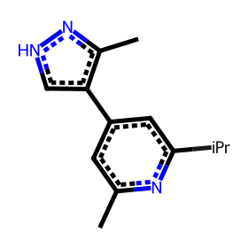 Cc1cc(-c2c[nH]nc2C)cc(C(C)C)n1